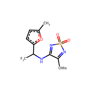 COC1=NS(=O)(=O)N=C1NC(c1ccc(C)o1)C(F)(F)F